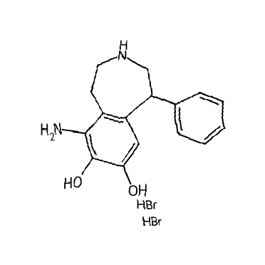 Br.Br.Nc1c(O)c(O)cc2c1CCNCC2c1ccccc1